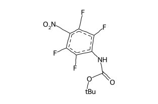 CC(C)(C)OC(=O)Nc1c(F)c(F)c([N+](=O)[O-])c(F)c1F